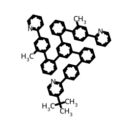 Cc1cc(-c2ccccn2)ccc1-c1ccccc1-c1cc(-c2ccccc2-c2ccc(-c3cc(C(C)(C)C)ccn3)cc2)cc(-c2ccccc2-c2ccc(-c3ccccn3)cc2C)c1